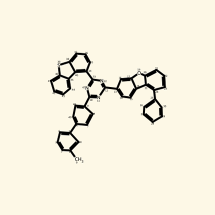 Cc1cccc(-c2ccc(-c3nc(-c4ccc5c(c4)oc4cccc(-c6ccccc6)c45)nc(-c4cccc5sc6ccccc6c45)n3)cc2)c1